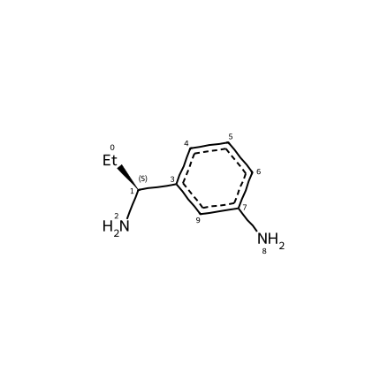 CC[C@H](N)c1cccc(N)c1